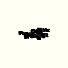 CCOc1nc(NC(C)=O)nc2c1ncn2[C@@H]1O[C@H](CO[SiH](C(C)C)C(C)C)C[C@@]1(C)C#N